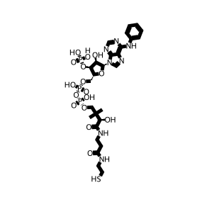 CC(C)(COP(=O)(O)OP(=O)(O)OC[C@H]1O[C@@H](n2cnc3c(Nc4ccccc4)ncnc32)[C@H](O)[C@@H]1OP(=O)(O)O)[C@@H](O)C(=O)NCCC(=O)NCCS